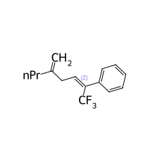 C=C(C/C=C(/c1ccccc1)C(F)(F)F)CCC